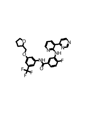 O=C(Nc1cc(OCC2CCCO2)cc(C(F)(F)F)c1)c1ccc(F)c(Nc2ncccc2-c2ccncn2)c1